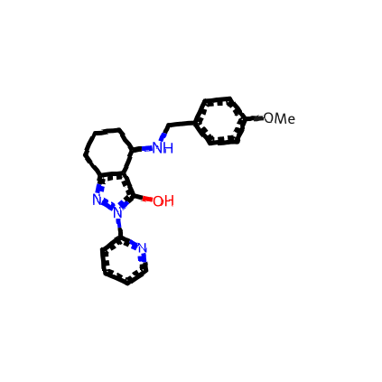 COc1ccc(CNC2CCCc3nn(-c4ccccn4)c(O)c32)cc1